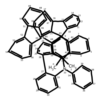 CC1(C)c2ccccc2C2(c3ccccc3-c3ccccc32)c2cccc(-c3ccccc3N(c3ccccc3)c3cccc(-n4c5ccccc5c5ccccc54)c3)c21